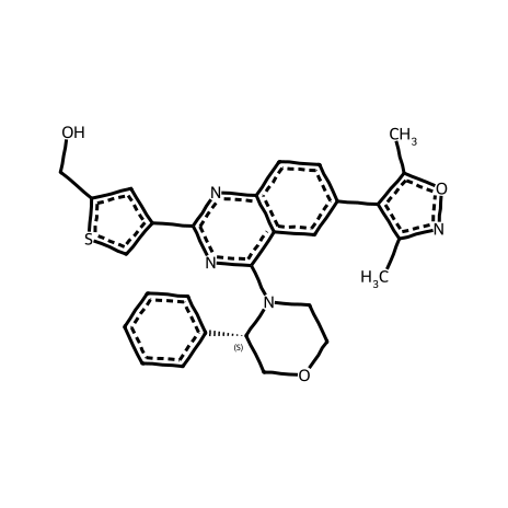 Cc1noc(C)c1-c1ccc2nc(-c3csc(CO)c3)nc(N3CCOC[C@@H]3c3ccccc3)c2c1